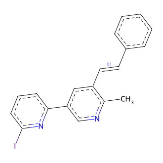 Cc1ncc(-c2cccc(I)n2)cc1/C=C/c1ccccc1